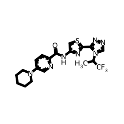 CC(n1cnnc1-c1nc(NC(=O)c2ccc(N3CCCCC3)cn2)cs1)C(F)(F)F